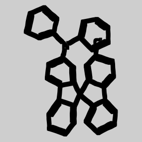 Clc1ccc2c(c1)C1(c3ccccc3-2)c2ccccc2-c2ccc(N(c3ccccc3)c3ccccc3)cc21